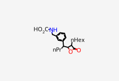 CCCCCCC1C(=O)OC1C(CCC)c1cccc(CNC(=O)O)c1